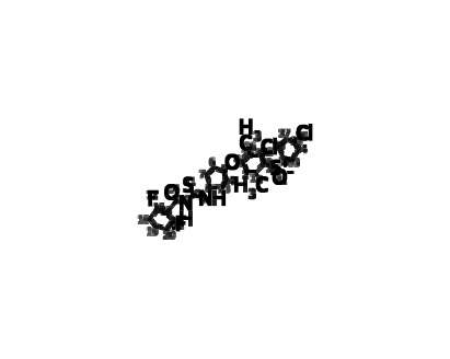 Cc1cc(Oc2ccc(NC(=S)NC(=O)c3c(F)cccc3F)cc2)c(C)c(Cl)c1[S+]([O-])c1ccc(Cl)cc1